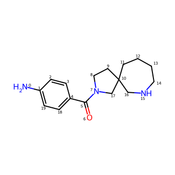 Nc1ccc(C(=O)N2CCC3(CCCCNC3)C2)cc1